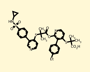 CCc1ccc(-c2c(SC(C)(C)C(=O)O)ccnc2OC(=O)C(C)(C)Sc2ccncc2-c2ccc(S(=O)(=O)NC3CC3)cc2)cc1